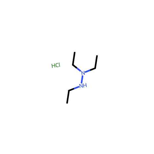 CCNN(CC)CC.Cl